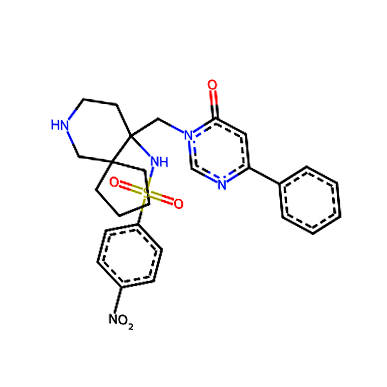 O=c1cc(-c2ccccc2)ncn1CC1(NS(=O)(=O)c2ccc([N+](=O)[O-])cc2)CCNCC12CCCC2